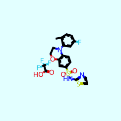 Cc1ccc(F)cc1N1CCOc2cc(S(=O)(=O)Nc3nccs3)ccc21.O=C(O)C(F)(F)F